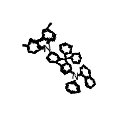 Cc1ccc2c(c1)c1cc(C)ccc1n2-c1ccc2c(c1)C(c1ccccc1)(c1ccccc1)c1cc(N(c3ccccc3)c3cccc4ccccc34)ccc1-2